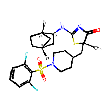 CC1(CC2CCN(S(=O)(=O)c3c(F)cccc3F)CC2)SC(N[C@H]2C[C@@H]3CC[C@H]2C3)=NC1=O